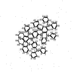 c1ccc(N(c2ccccc2)c2ccc3c(c2)N(c2ccccc2)c2c4c5c(c6c2B3c2cc3c(cc2N6c2ccccc2)N(c2ccccc2)c2cc(N(c6ccccc6)c6ccccc6)cc6c2B3c2ccccc2N6c2ccccc2)CCCN5CCC4)cc1